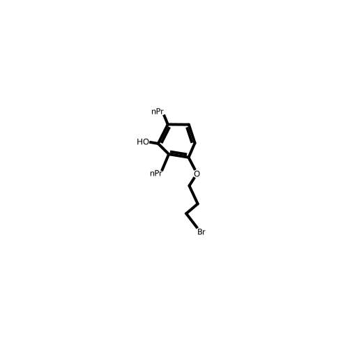 CCCc1ccc(OCCCBr)c(CCC)c1O